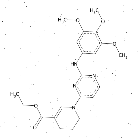 CCOC(=O)C1=CN(c2ccnc(Nc3cc(OC)c(OC)c(OC)c3)n2)CCC1